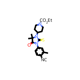 [C-]#[N+]c1ccc(N2C(=O)C(C)(C)N(C3CCN(C(=O)OCC)CC3)C2=S)cc1C